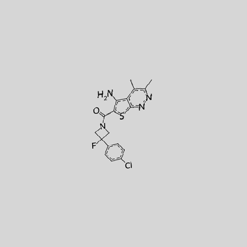 Cc1nnc2sc(C(=O)N3CC(F)(c4ccc(Cl)cc4)C3)c(N)c2c1C